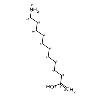 C=C(O)CCCCCCCCCCN